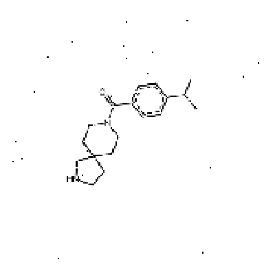 CC(C)c1ccc(C(=O)N2CCC3(CCNC3)CC2)cc1